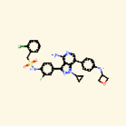 Nc1ncc(-c2ccc(NC3COC3)cc2)c2c1c(-c1ccc(NS(=O)(=O)Cc3ccccc3Cl)c(F)c1)nn2C1CC1